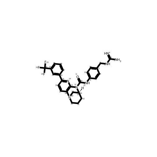 N=C(N)NCc1ccc(NC(=O)N2c3nc(-c4cccc(C(F)(F)F)c4)ccc3N3CCC[C@H]2C3)cc1